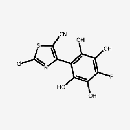 N#Cc1sc(Cl)nc1-c1c(O)c(O)c(F)c(O)c1O